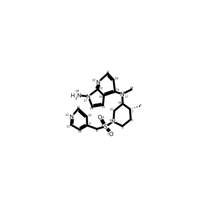 C[C@@H]1CCN(S(=O)(=O)Cc2ccncc2)CC1N(C)c1ccnc2c1ccn2N